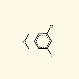 COC.Clc1cccc(Cl)c1